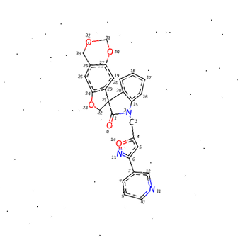 O=C1N(Cc2cc(-c3cccnc3)no2)c2ccccc2C12COc1cc3c(cc12)OCOC3